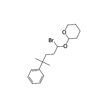 CC(C)(CCC(Br)OC1CCCCO1)c1ccccc1